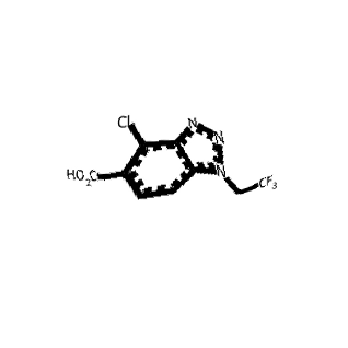 O=C(O)c1ccc2c(nnn2CC(F)(F)F)c1Cl